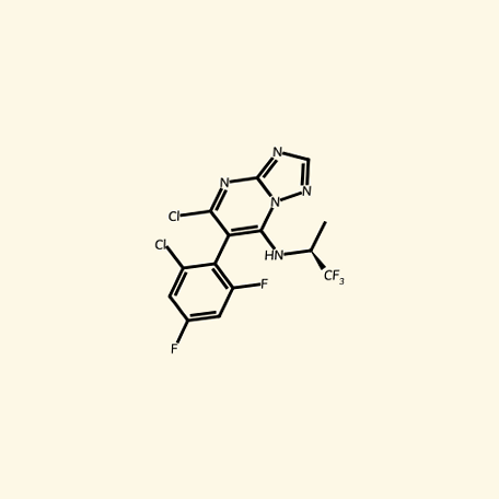 C[C@H](Nc1c(-c2c(F)cc(F)cc2Cl)c(Cl)nc2ncnn12)C(F)(F)F